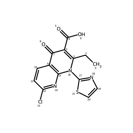 CCc1c(C(=O)O)c(=O)c2ccc(Cl)nc2n1-c1nccs1